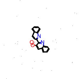 [O]Oc1cc2ccccc2nc1-c1ccc2ccccc2n1